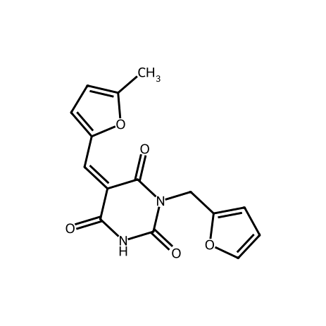 Cc1ccc(C=C2C(=O)NC(=O)N(Cc3ccco3)C2=O)o1